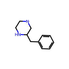 c1ccc(CC2C[N]CCN2)cc1